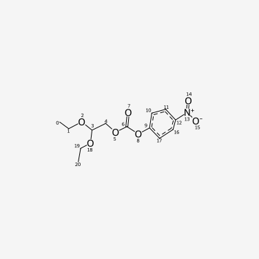 CCOC(COC(=O)Oc1ccc([N+](=O)[O-])cc1)OCC